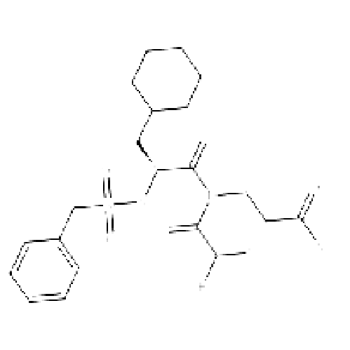 NC(=O)CCN(C(=O)C(F)Cl)C(=O)[C@H](CC1CCCCC1)NS(=O)(=O)Cc1ccccc1